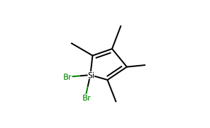 CC1=C(C)[Si](Br)(Br)C(C)=C1C